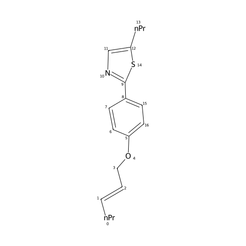 CCCC=CCOc1ccc(-c2ncc(CCC)s2)cc1